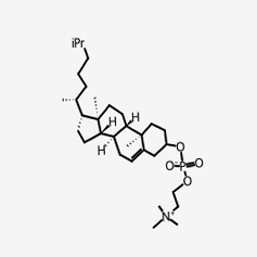 CC(C)CCC[C@@H](C)[C@H]1CC[C@H]2[C@@H]3CC=C4CC(OP(=O)([O-])OCC[N+](C)(C)C)CC[C@]4(C)[C@H]3CC[C@]12C